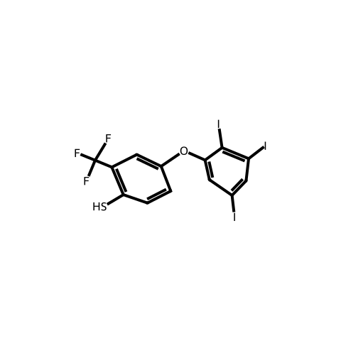 FC(F)(F)c1cc(Oc2cc(I)cc(I)c2I)ccc1S